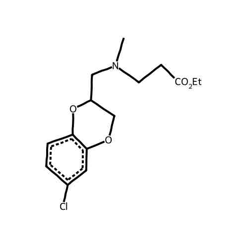 CCOC(=O)CCN(C)CC1COc2cc(Cl)ccc2O1